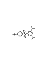 CC(C)c1cc(C(C)C)cc(S(=O)(=O)c2ccc(C(C)(C)C)cc2)c1